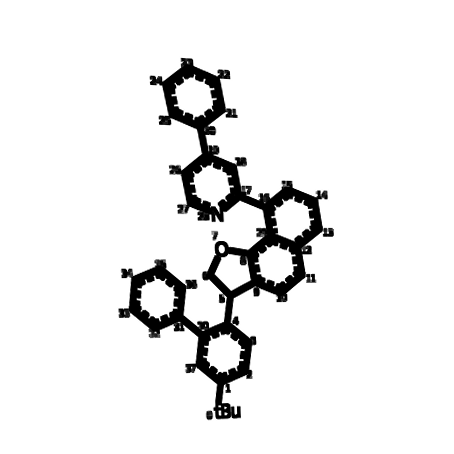 CC(C)(C)c1ccc(C2COc3c2ccc2cccc(-c4cc(-c5ccccc5)ccn4)c32)c(-c2ccccc2)c1